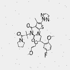 COCCOC(Cn1c(=O)n(C(C)(C)C(=O)N2CCCC2)c(=O)c2c(C)c(-n3nccn3)sc21)c1cc(F)ccc1OC